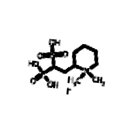 C[N+]1(C)CCCCC1CC(P(=O)(O)O)S(=O)(=O)O.[I-]